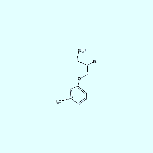 CCC(COc1cccc(C)c1)CS(=O)(=O)O